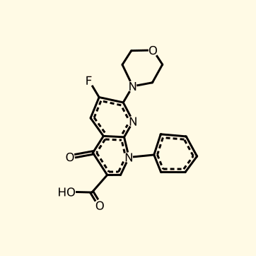 O=C(O)c1cn(-c2ccccc2)c2nc(N3CCOCC3)c(F)cc2c1=O